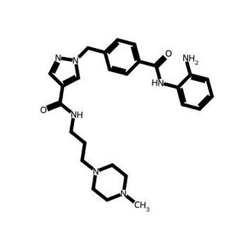 CN1CCN(CCCNC(=O)c2cnn(Cc3ccc(C(=O)Nc4ccccc4N)cc3)c2)CC1